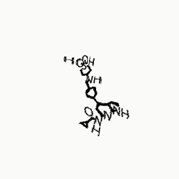 O=C(Nc1cc(-c2ccc(CNC3CCS(O)(O)CC3)cc2)c2cc[nH]c2n1)C1CC1